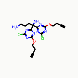 C#CCCOc1nc(Cl)nc(C(N)(CCCN)c2nc(Cl)nc(OCCC#C)n2)n1